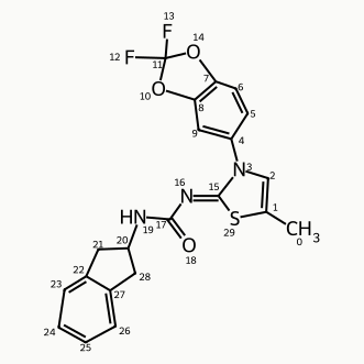 Cc1cn(-c2ccc3c(c2)OC(F)(F)O3)/c(=N/C(=O)NC2Cc3ccccc3C2)s1